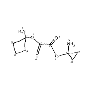 NC1(OC(=O)C(=O)OC2(N)CC2)CCC1